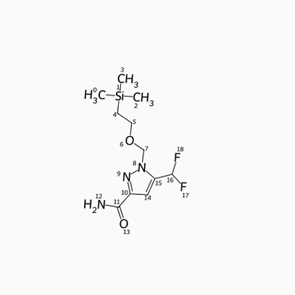 C[Si](C)(C)CCOCn1nc(C(N)=O)cc1C(F)F